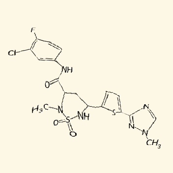 CN1C(C(=O)Nc2ccc(F)c(Cl)c2)CC(c2ccc(-c3ncn(C)n3)s2)NS1(=O)=O